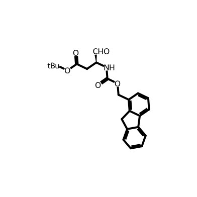 CC(C)(C)OC(=O)C[C@@H](C=O)NC(=O)OCc1cccc2c1Cc1ccccc1-2